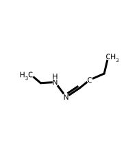 CCC/C=N\NCC